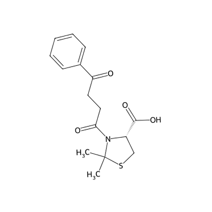 CC1(C)SC[C@@H](C(=O)O)N1C(=O)CCC(=O)c1ccccc1